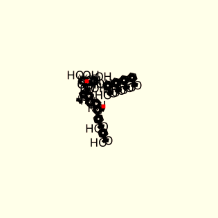 C=C(C)[C@@H]1CC[C@]2(C(=O)OC3(OC4OC[C@H](O)[C@H](O)[C@H]4O)OC[C@H](O)[C@H](O)[C@H]3O)CC[C@]3(C)[C@H](CC[C@@H]4[C@@]5(C)CCCC(C)(C)[C@@H]5CC[C@]43C)[C@@H]12.O=C(O)c1ccccc1.O=C(O)c1ccccc1.O=C(O)c1ccccc1.O=C(O)c1ccccc1.O=C(O)c1ccccc1.O=C(O)c1ccccc1